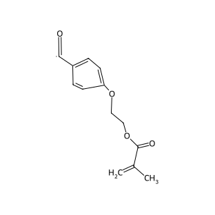 C=C(C)C(=O)OCCOc1ccc([C]=O)cc1